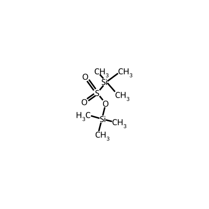 C[Si](C)(C)OS(=O)(=O)[Si](C)(C)C